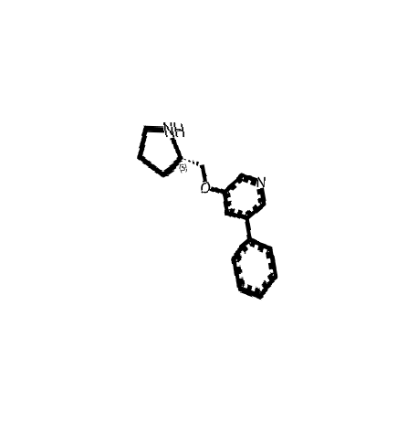 c1ccc(-c2cncc(OC[C@@H]3CCCN3)c2)cc1